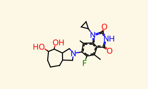 Cc1c(F)c(N2CC3CCCC(O)C(O)C3C2)c(C)c2c1c(=O)[nH]c(=O)n2C1CC1